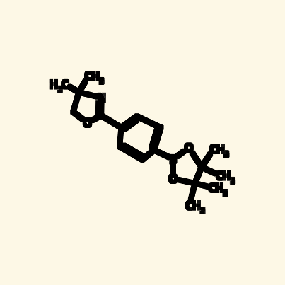 CC1(C)COC(c2ccc(B3OC(C)(C)C(C)(C)O3)cc2)=N1